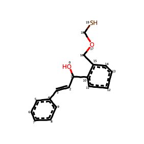 OC(C=Cc1ccccc1)c1ccccc1COCS